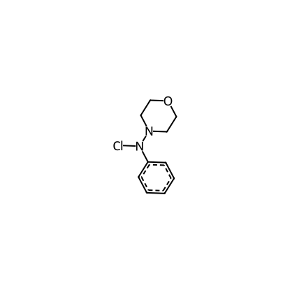 ClN(c1ccccc1)N1CCOCC1